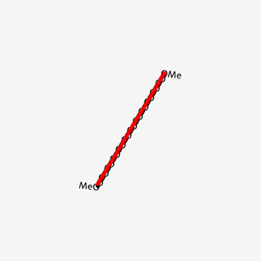 COCCOCCOCCOCCOCCOCCOCCOCCOCCOCCOCCOCCOCCOCCOCCOCCOCCOCCOCCOCCOCCOCCOCCOCCOC